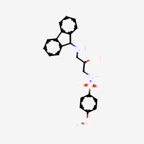 O=S(=O)(NCC(O)CNC1c2ccccc2-c2ccccc21)c1ccc(OC(F)(F)F)cc1